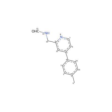 Cc1ccc(-c2ccnc(CNC=O)c2)cc1